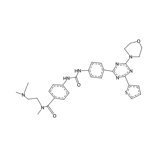 CN(C)CCN(C)C(=O)c1ccc(NC(=O)Nc2ccc(-c3nc(-c4cccs4)nc(N4CCOCC4)n3)cc2)cc1